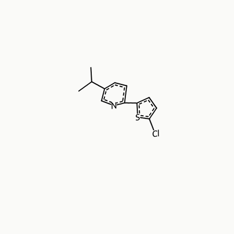 CC(C)c1ccc(-c2ccc(Cl)s2)nc1